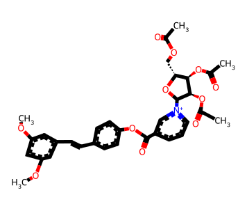 COc1cc(/C=C/c2ccc(OC(=O)c3ccc[n+](C4O[C@H](COC(C)=O)[C@@H](OC(C)=O)[C@H]4OC(C)=O)c3)cc2)cc(OC)c1